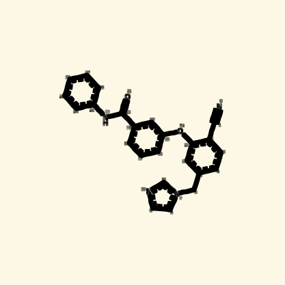 N#Cc1ccc(Cn2ccnc2)cc1Oc1cccc(C(=O)Nc2ccccc2)c1